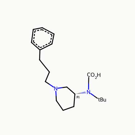 CC(C)(C)N(C(=O)O)[C@@H]1CCCN(CCCc2ccccc2)C1